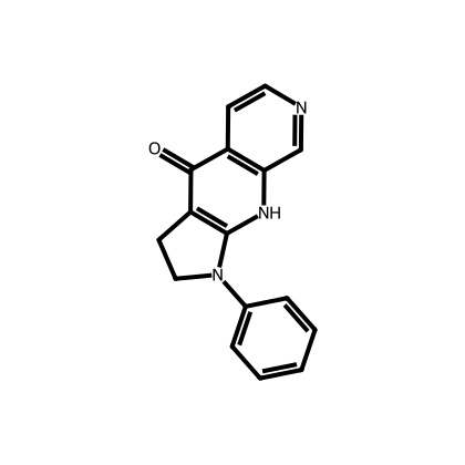 O=c1c2c([nH]c3cnccc13)N(c1ccccc1)CC2